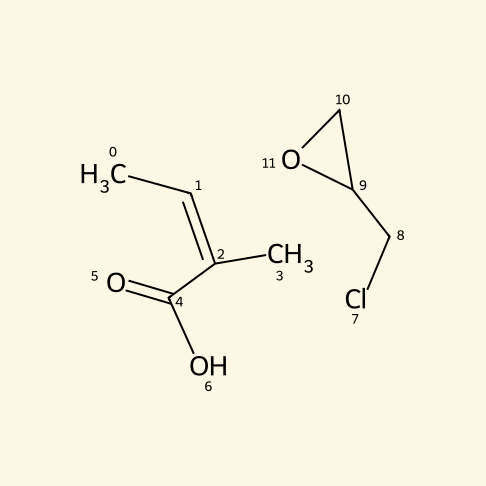 CC=C(C)C(=O)O.ClCC1CO1